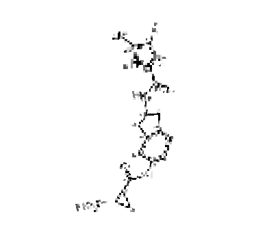 CCOC(=O)C1CC1C(=O)Nc1ccc2c(c1)CC(NC(=O)c1nc(Cl)c(CC)[nH]1)C2